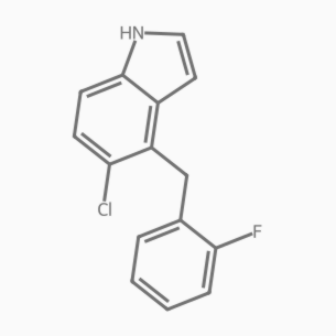 Fc1ccccc1Cc1c(Cl)ccc2[nH]ccc12